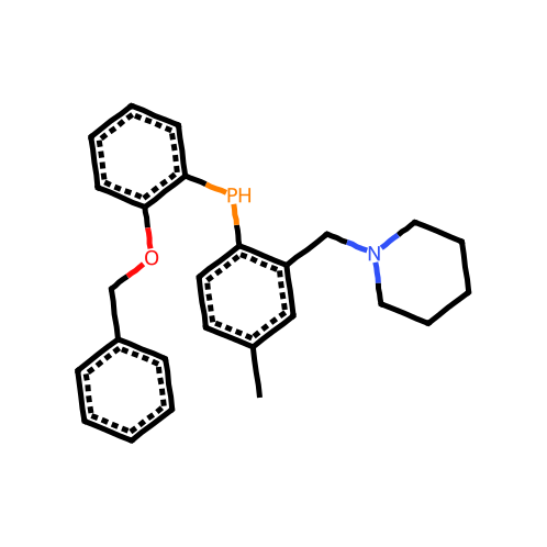 Cc1ccc(Pc2ccccc2OCc2ccccc2)c(CN2CCCCC2)c1